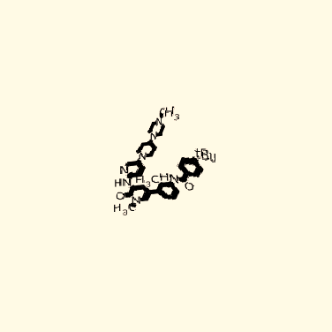 Cc1c(NC(=O)c2ccc(C(C)(C)C)cc2)cccc1-c1cc(Nc2ccc(N3CCC(N4CCN(C)CC4)CC3)cn2)c(=O)n(C)c1